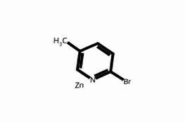 Cc1ccc(Br)nc1.[Zn]